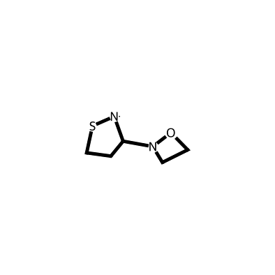 C1CN(C2CCS[N]2)O1